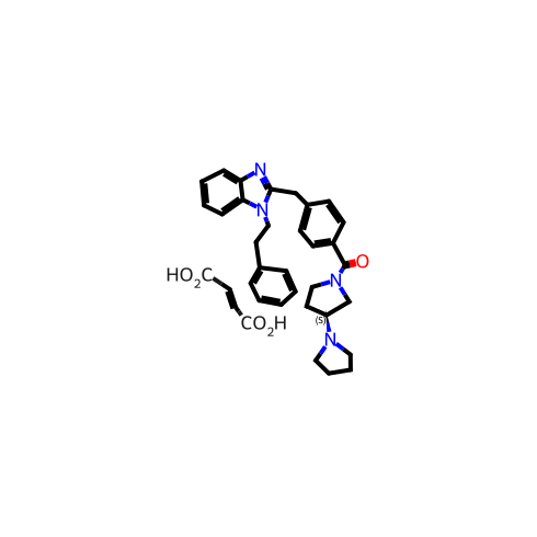 O=C(O)C=CC(=O)O.O=C(c1ccc(Cc2nc3ccccc3n2CCc2ccccc2)cc1)N1CC[C@H](N2CCCC2)C1